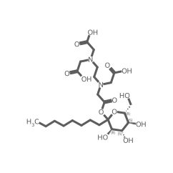 CCCCCCCCC1(OC(=O)CN(CCN(CC(=O)O)CC(=O)O)CC(=O)O)O[C@H](CO)[C@@H](O)[C@H](O)[C@H]1O